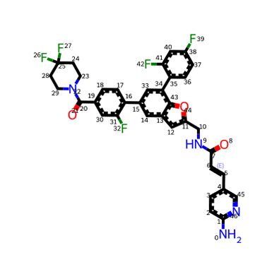 Nc1ccc(/C=C/C(=O)NCc2cc3cc(-c4ccc(C(=O)N5CCC(F)(F)CC5)cc4F)cc(-c4ccc(F)cc4F)c3o2)cn1